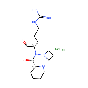 Cl.Cl.N=C(N)NCCC[C@@H](C=O)N(C(=O)[C@H]1CCCCN1)N1CCC1